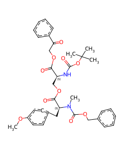 COc1ccc(C[C@@H](C(=O)OC[C@H](NC(=O)OC(C)(C)C)C(=O)OCC(=O)c2ccccc2)N(C)C(=O)OCc2ccccc2)cc1